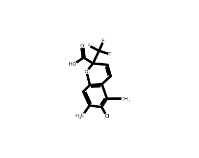 Cc1cc2c(c(C)c1Cl)C=CC(C(=O)O)(C(F)(F)F)O2